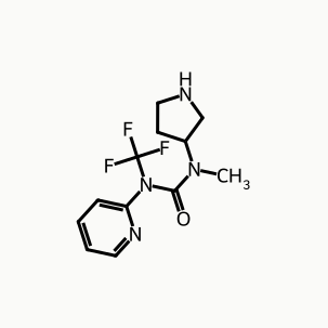 CN(C(=O)N(c1ccccn1)C(F)(F)F)C1CCNC1